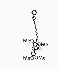 COc1ccc(-c2cc(=O)c3c(OC)c(C#CCCCCCCCCCCOCc4ccccc4)c(OC)cc3o2)cc1OC